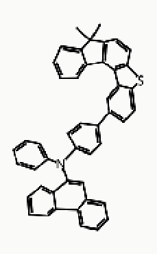 CC1(C)c2ccccc2-c2c1ccc1sc3ccc(-c4ccc(N(c5ccccc5)c5cc6ccccc6c6ccccc56)cc4)cc3c21